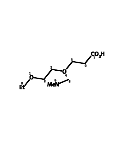 CCOCCOCCC(=O)O.CNC